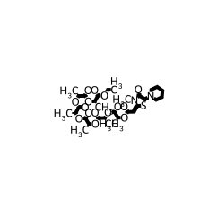 CCOC(=O)[C@H](C)OC(=O)[C@H](C)OC(=O)[C@H](C)OC(=O)[C@H](C)OC(=O)[C@H](C)OC(=O)[C@H](C)OC(=O)/C=C1/SC(N2CCCCC2)C(=O)N1C